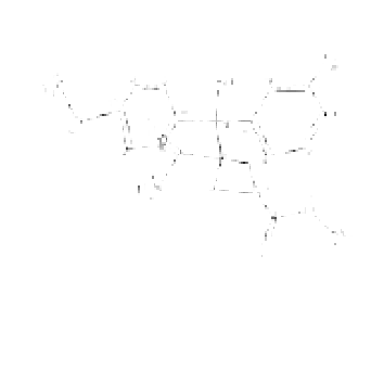 CC(C)(C)OC(=O)N1CC(C(N)=O)(C(O)(c2ccc(OC(F)(F)F)cc2)c2cccc(Cl)c2)C1